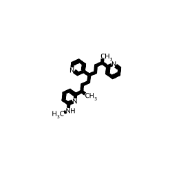 CNc1cccc(C(C)CCC(CCC(C)c2ccccn2)c2cccnc2)n1